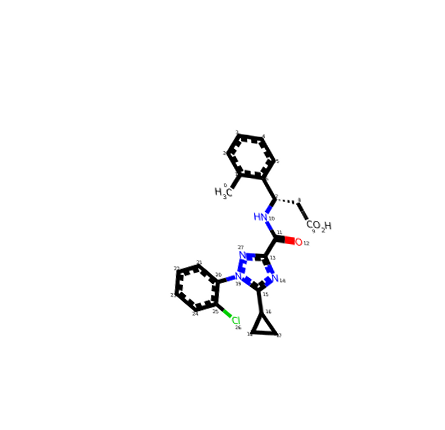 Cc1ccccc1[C@H](CC(=O)O)NC(=O)c1nc(C2CC2)n(-c2ccccc2Cl)n1